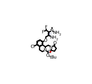 CC1CCC(=O)N1CC1c2c(OC/C(N)=C(\C(F)F)N(C)N)ccc(Cl)c2CCN1C(=O)OC(C)(C)C